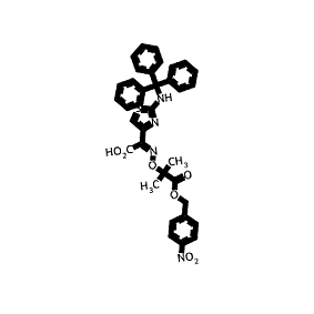 CC(C)(ON=C(C(=O)O)c1csc(NC(c2ccccc2)(c2ccccc2)c2ccccc2)n1)C(=O)OCc1ccc([N+](=O)[O-])cc1